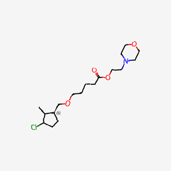 CC1C(Cl)CC[C@@H]1COCCCCC(=O)OCCN1CCOCC1